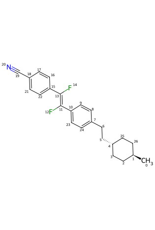 C[C@H]1CC[C@H](CCc2ccc(C(F)=C(F)c3ccc(C#N)cc3)cc2)CC1